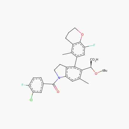 Cc1cc2c(c(-c3cc(F)c4c(c3C)CCCO4)c1[C@H](OC(C)(C)C)C(=O)O)CCN2C(=O)c1ccc(F)c(Cl)c1